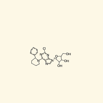 OCC1O[C@@H](n2cnc3c(N4CCCCC4c4ccccc4)nc(Cl)nc32)C(O)C1O